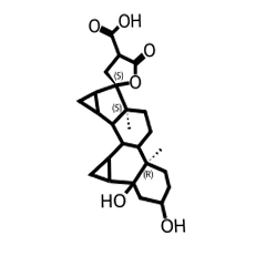 C[C@]12CCC3C(C4CC4C4(O)CC(O)CC[C@]34C)C1C1CC1[C@@]21CC(C(=O)O)C(=O)O1